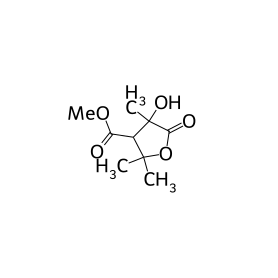 COC(=O)C1C(C)(C)OC(=O)C1(C)O